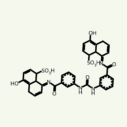 O=C(Nc1cccc(C(=O)N=C2C=CCC3=C(O)C=CC(S(=O)(=O)O)C23)c1)Nc1cccc(C(=O)N=C2C=CCC3=C(O)C=CC(S(=O)(=O)O)C23)c1